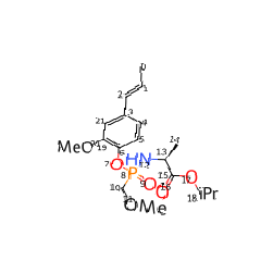 C/C=C/c1ccc(OP(=O)(COC)N[C@@H](C)C(=O)OC(C)C)c(OC)c1